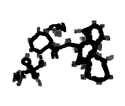 CS(=O)(=O)O[C@@H]1CCC[C@H](O)[C@H]1NCc1cc2ccccc2c2ccccc12